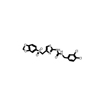 O=C(NCc1ccc(Cl)c(Cl)c1)Nc1nc(CS(=O)(=O)c2ccc3c(c2)OCO3)cs1